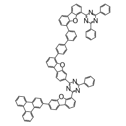 c1ccc(-c2nc(-c3ccc4c(c3)oc3c(-c5ccc(-c6cccc(-c7cccc8c7oc7c(-c9nc(-c%10ccccc%10)nc(-c%10ccccc%10)n9)cccc78)c6)cc5)cccc34)nc(-c3cccc4c3oc3cc(-c5ccc6c7ccccc7c7ccccc7c6c5)ccc34)n2)cc1